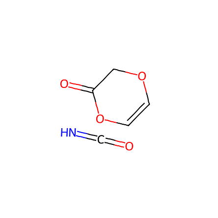 N=C=O.O=C1COC=CO1